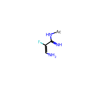 CC(=O)NC(=N)/C(F)=C\N